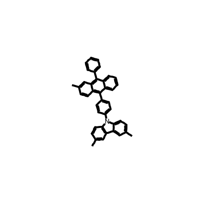 Cc1ccc2c(-c3ccc(-n4c5ccc(C)cc5c5cc(C)ccc54)cc3)c3ccccc3c(-c3ccccc3)c2c1